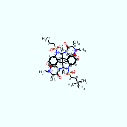 CCCS(=O)(=O)N1c2ccccc2C2([C@]34C[C@@]56SS[C@@](C)(C(=O)N5[C@H]3N(S(=O)(=O)CC[Si](C)(C)C)c3ccccc34)N(C)C6=O)C[C@@]34SS[C@@](C)(C(=O)N3[C@@H]12)N(C)C4=O